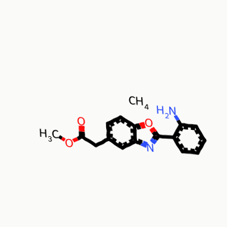 C.COC(=O)Cc1ccc2oc(-c3ccccc3N)nc2c1